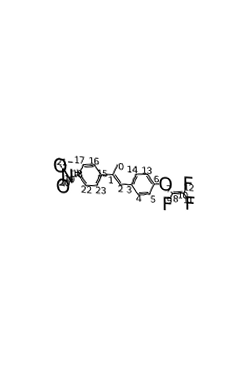 C/C(=C\c1ccc(OC(F)=C(F)F)cc1)c1ccc([N+](=O)[O-])cc1